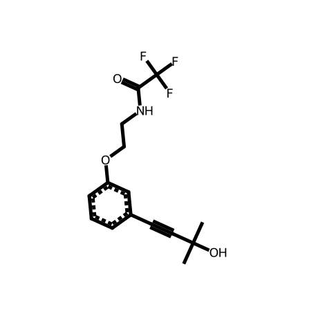 CC(C)(O)C#Cc1cccc(OCCNC(=O)C(F)(F)F)c1